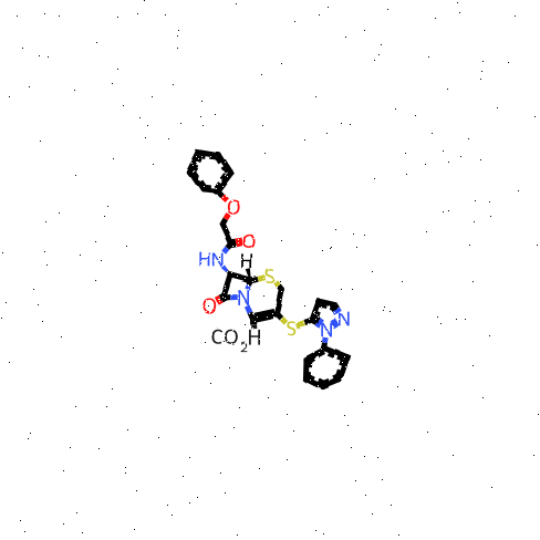 O=C(COc1ccccc1)N[C@@H]1C(=O)N2C(C(=O)O)=C(Sc3ccnn3-c3ccccc3)CS[C@@H]12